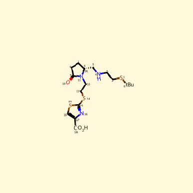 CC(C)(C)SCCNC[C@H]1CCC(=O)N1CCSc1nc(C(=O)O)cs1